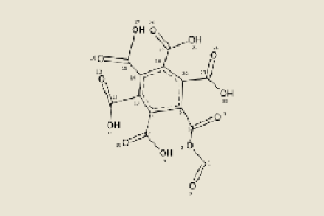 O=COC(=O)c1c(C(=O)O)c(C(=O)O)c(C(=O)O)c(C(=O)O)c1C(=O)O